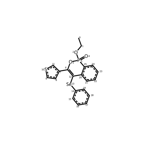 CCOP1(=O)OC(c2ccsc2)=C([Se]c2ccccc2)c2ccccc21